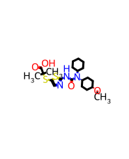 CO[C@H]1CC[C@H](N(C(=O)Nc2ncc(SC(C)(C)C(=O)O)s2)C2CCCCC2)CC1